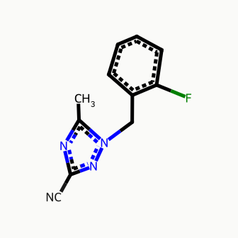 Cc1nc(C#N)nn1Cc1ccccc1F